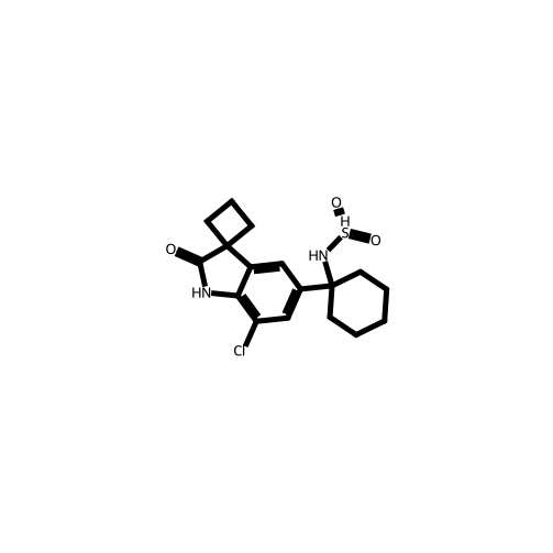 O=C1Nc2c(Cl)cc(C3(N[SH](=O)=O)CCCCC3)cc2C12CCC2